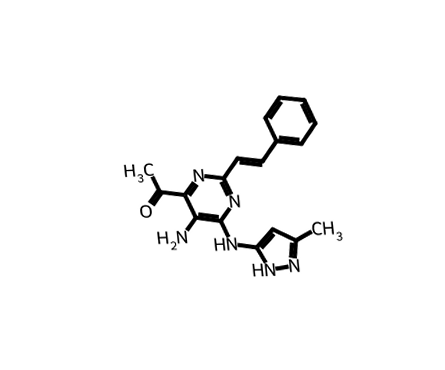 CC(=O)c1nc(/C=C/c2ccccc2)nc(Nc2cc(C)n[nH]2)c1N